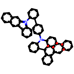 c1ccc(-c2ccc(N(c3ccc(-c4ccccc4-n4c5ccccc5c5cc6ccccc6cc54)cc3)c3ccccc3-c3cc4ccccc4c4ccccc34)cc2)cc1